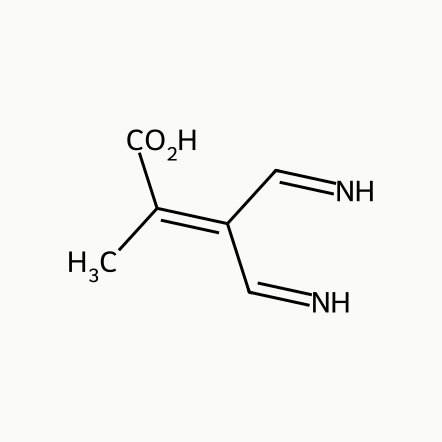 CC(C(=O)O)=C(C=N)C=N